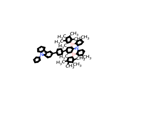 Cc1ccc2c(c1)B(c1c(C)c(C)c(C)c(C)c1C)c1cc(-c3ccc(-c4ccc5c(c4)c4ccccc4n5-c4ccccc4)cc3)cc3c1N2c1ccc(C)cc1B3c1c(C)c(C)c(C)c(C)c1C